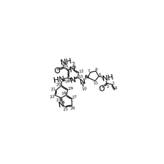 C=CC(=O)NC1CC[C@@H](N(C)c2cnc(C(N)=O)c(Nc3ccc4ncccc4c3)n2)C1